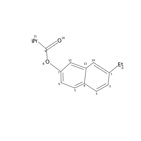 CCc1ccc2ccc(OC(=O)C(C)C)cc2c1